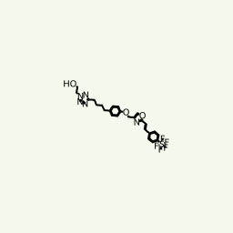 OCCn1nnc(CCCCc2ccc(OCc3coc(C=Cc4ccc(S(F)(F)(F)(F)F)cc4)n3)cc2)n1